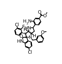 COC(=O)c1ccc(C2C[C@H]3[C@@H](N2)[C@H](c2cccc(Cl)c2F)[C@]2(C(=O)Nc4cc(Cl)ccc42)N3Cc2cccc(OC)c2)c(N)c1